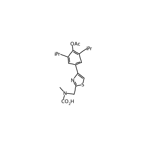 CC(=O)Oc1c(C(C)C)cc(-c2csc(CN(C)C(=O)O)n2)cc1C(C)C